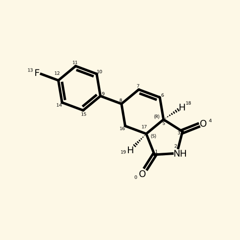 O=C1NC(=O)[C@@H]2C=CC(c3ccc(F)cc3)C[C@H]12